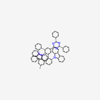 Cc1ccc2c(c1)c1ccccc1n2-c1c(-c2ccccc2-n2c3ccccc3c3ccccc32)cc(-c2nc(-c3ccccc3)nc(-c3ccccc3)n2)cc1-c1ccccc1-n1c2ccccc2c2ccccc21